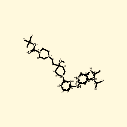 COC1(CCN2CCN(C(=O)OC(C)(C)C)CC2)CCN(c2nccc(Nc3cc4c(cn3)nc(C)n4C(C)C)n2)CC1